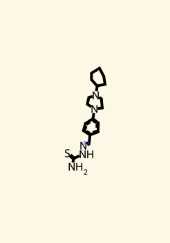 NC(=S)N/N=C/c1ccc(N2CCN(C3CCCCC3)CC2)cc1